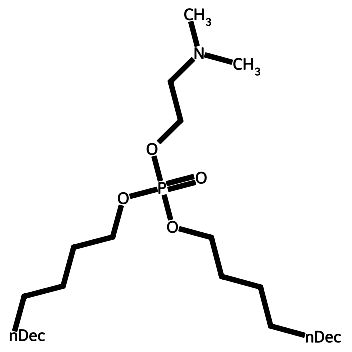 CCCCCCCCCCCCCCOP(=O)(OCCCCCCCCCCCCCC)OCCN(C)C